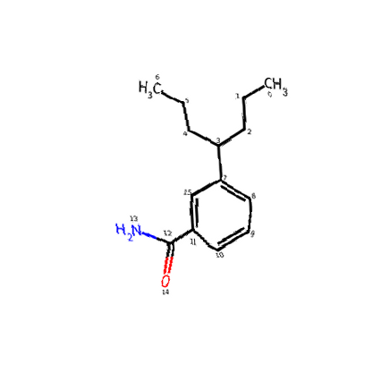 CCCC(CCC)c1cccc(C(N)=O)c1